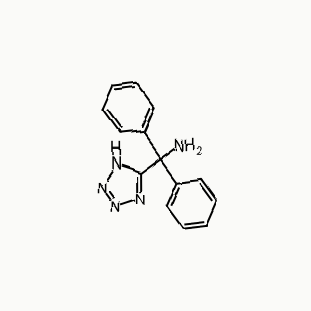 NC(c1ccccc1)(c1ccccc1)c1nnn[nH]1